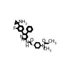 CCC(=O)N(C)[C@H]1CC[C@H](CC(=O)Nc2cc(-c3ccccc3)c(-c3ccc(C4(N)CC4)c(F)c3)nn2)CC1